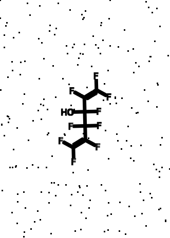 OC(F)(C(F)=C(F)F)C(F)(F)C(F)=C(F)F